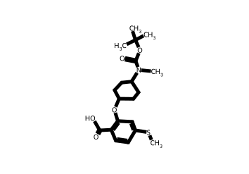 CSc1ccc(C(=O)O)c(OC2CCC(N(C)C(=O)OC(C)(C)C)CC2)c1